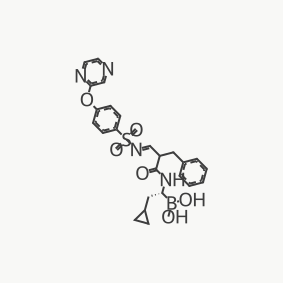 O=C(N[C@@H](CC1CC1)B(O)O)C(/C=N/S(=O)(=O)c1ccc(Oc2cnccn2)cc1)Cc1ccccc1